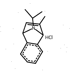 CC1=CC2c3ccccc3C1N2C(C)C.Cl